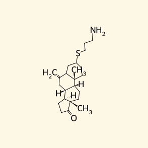 C=C1C[C@@H]2[C@@H](CC[C@]3(C)C(=O)CC[C@@H]23)[C@@]2(C)CCC(SCCCN)CC12